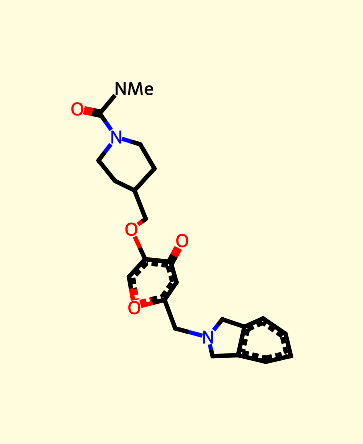 CNC(=O)N1CCC(COc2coc(CN3Cc4ccccc4C3)cc2=O)CC1